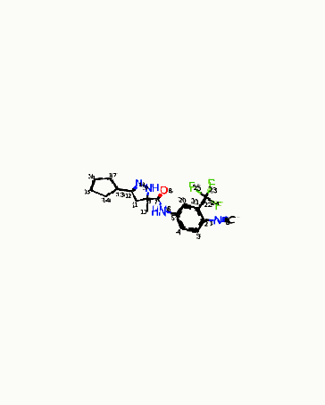 [C-]#[N+]c1ccc(NC(=O)C2(C)CC(C3CCCC3)=NN2)cc1C(F)(F)F